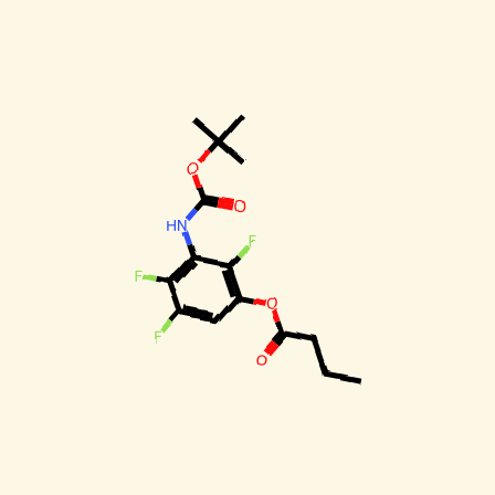 CCCC(=O)Oc1cc(F)c(F)c(NC(=O)OC(C)(C)C)c1F